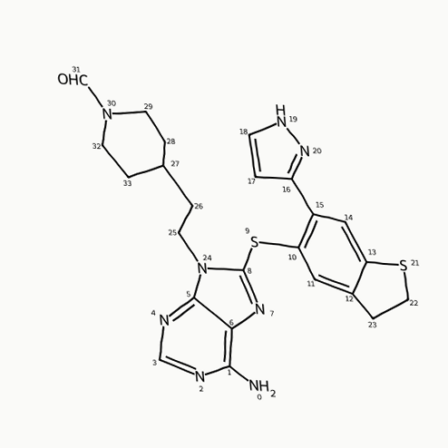 Nc1ncnc2c1nc(Sc1cc3c(cc1-c1cc[nH]n1)SCC3)n2CCC1CCN(C=O)CC1